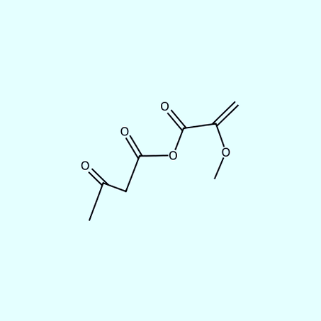 C=C(OC)C(=O)OC(=O)CC(C)=O